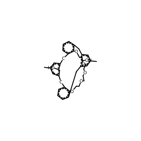 Cc1cc2c(O)c(c1)Cc1cccc3c1OCCOCCOCCOCCOc1c(cccc1Cc1cc(C)cc(c1O)C3)C2